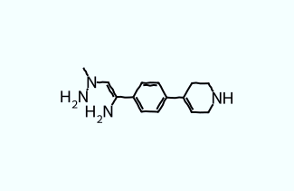 CN(N)/C=C(\N)c1ccc(C2=CCNCC2)cc1